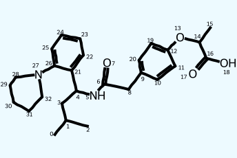 CC(C)CC(NC(=O)Cc1ccc(OC(C)C(=O)O)cc1)c1ccccc1N1CCCCC1